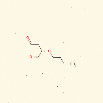 CCCCOC(C=O)CC=O